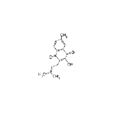 CC(C)=CCC1=C(O)C(=O)c2cc(C)ccc2C1=O